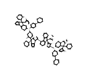 c1ccc(-c2ccc(N(c3ccc4c(c3)Sc3ccccc3C43c4ccccc4-c4c(-c5cccc6c5-c5ccccc5C65c6ccccc6Sc6c(N(c7ccc(-c8ccccc8)cc7)c7ccc8c(c7)C7(c9ccccc9Oc9ccccc97)c7ccccc7-8)cccc65)cccc43)c3ccc4c(c3)C3(c5ccccc5Oc5ccccc53)c3ccccc3-4)cc2)cc1